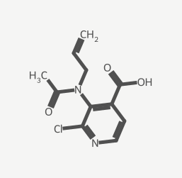 C=CCN(C(C)=O)c1c(C(=O)O)ccnc1Cl